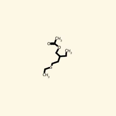 CCSCC[C](CC)COC(C)=O